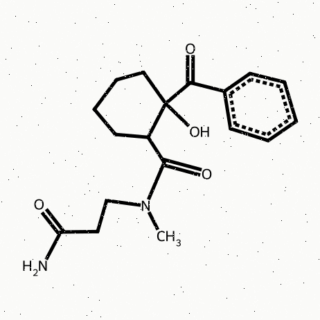 CN(CCC(N)=O)C(=O)C1CCCCC1(O)C(=O)c1ccccc1